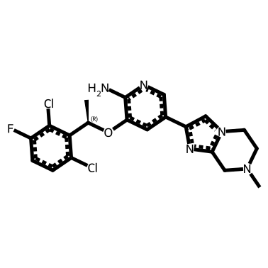 C[C@@H](Oc1cc(-c2cn3c(n2)CN(C)CC3)cnc1N)c1c(Cl)ccc(F)c1Cl